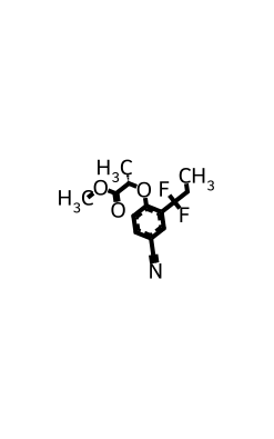 CCC(F)(F)c1cc(C#N)ccc1O[C@@H](C)C(=O)OC